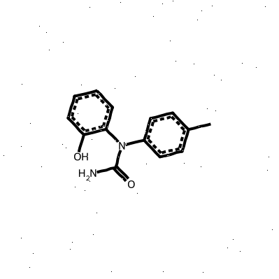 Cc1ccc(N(C(N)=O)c2ccccc2O)cc1